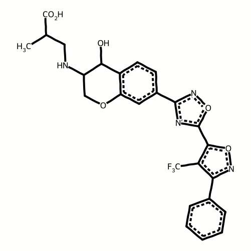 CC(CNC1COc2cc(-c3noc(-c4onc(-c5ccccc5)c4C(F)(F)F)n3)ccc2C1O)C(=O)O